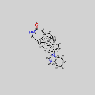 C[C@]12CCNC(=O)C=C1CC[C@@H]1[C@@H]2CC[C@]2(C)C(n3cnc4ccccc43)=CC[C@@H]12